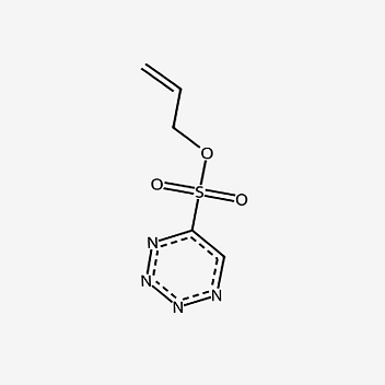 C=CCOS(=O)(=O)c1cnnnn1